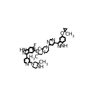 CC(CN1CCN(c2cc(-c3n[nH]c4ccc(OC5(C)CC5)cc34)ncn2)C[C@@H]1C)Oc1cc2c(-c3ccnc(N4CCN[C@@H](C)C4)c3)n[nH]c2cc1F